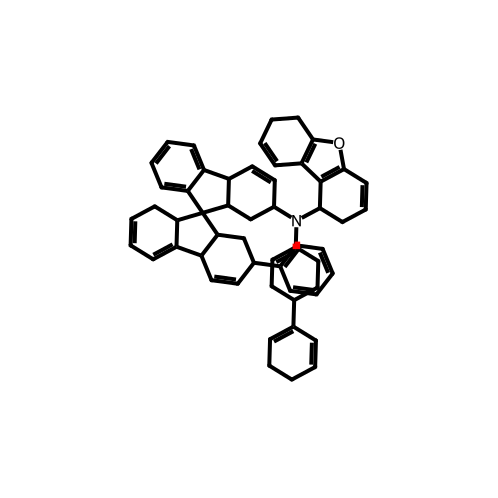 C1=CCC2C(=C1)C1C=CC(c3ccccc3)CC1C21c2ccccc2C2C=CC(N(C3=CCC(C4=CCCC=C4)CC3)C3CC=Cc4oc5c(c43)C=CCC5)CC21